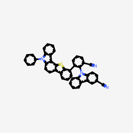 N#Cc1ccc2c(c1)c1ccccc1n2-c1c(C#N)cccc1-c1cccc2c1sc1c2ccc2c1c1ccccc1n2-c1ccccc1